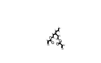 [CH2]CC[C](CCOC(=O)C=C)CCOC(=O)C=C